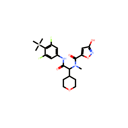 CN(C(=O)c1cc(O)no1)C(C(=O)Nc1cc(F)c([Si](C)(C)C)c(F)c1)C1CCOCC1